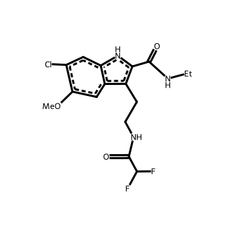 CCNC(=O)c1[nH]c2cc(Cl)c(OC)cc2c1CCNC(=O)C(F)F